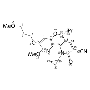 COCCCOc1cc2c(nc1OC)-c1c(cc(C#N)c(=O)n1C1CC1)[C@@H](C(C)C)O2